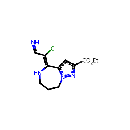 CCOC(=O)c1cc2n(n1)CCCN/C2=C(/Cl)C=N